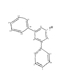 [LiH].c1ccc(-c2cccc(-c3ccccc3)c2)cc1